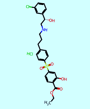 CCOC(=O)c1ccc(S(=O)(=O)c2ccc(CCCNC[C@@H](O)c3cccc(Cl)c3)cc2)cc1O.Cl